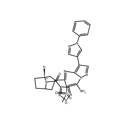 CS(=O)(=O)c1c(C2CC3CC[C@H](C2)N3C(=O)c2cn[nH]n2)nc2c(-c3cnn(-c4ccccc4)c3)cnn2c1N